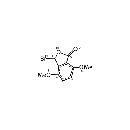 COc1ccc(OC)c2c1C(=O)OC2Br